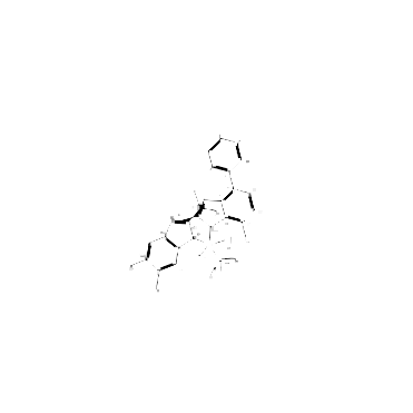 CC1=Cc2c(-c3ccccc3)ccc(C)c2[CH]1[Zr]([Cl])([Cl])([CH]1C(C(C)C)=Cc2cc(C)c(C)cc21)[SiH](C)C